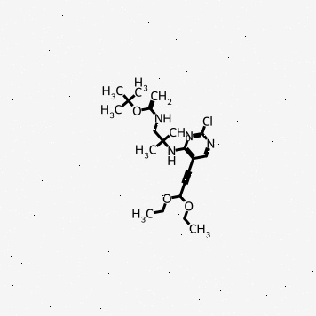 C=C(NCC(C)(C)Nc1nc(Cl)ncc1C#CC(OCC)OCC)OC(C)(C)C